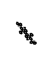 CC(C)c1ccc2c(c1)c(N(c1ccccc1)c1ccc(-c3cccc4c3oc3ccccc34)cc1)cc1c3ccc(C(C)C)cc3c(N(c3ccccc3)c3ccc(-c4cccc5c4oc4ccccc45)cc3)cc21